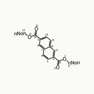 CCCCCCCCCOC(=O)c1ccc2cc(C(=O)OCCCCCCCCC)ccc2c1